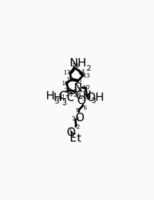 CCOCCOCCOC(O)CN1c2ccc(N)cc2CC(C)C1(C)C